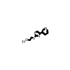 CCOCCSc1nc(-c2cccnc2)cs1